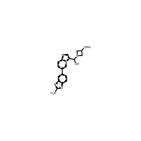 COC1CN(C(O)c2cnc3ccc(-c4ccc5oc(N)nc5c4)cn23)C1